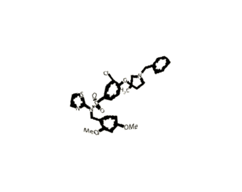 COc1ccc(CN(c2nccs2)S(=O)(=O)c2ccc(OC3(C)CCN(Cc4ccccc4)C3)c(Cl)c2)c(OC)c1